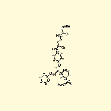 CCCCOC(=O)NCCC(=O)Nc1ccc(OC/C(=N\OC2CCCCO2)c2cc(C(=O)OC)ccn2)cc1